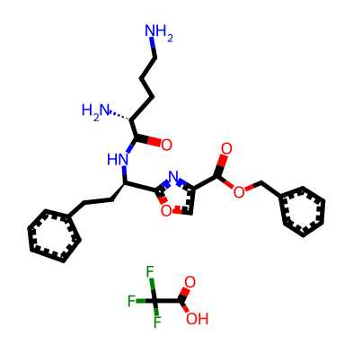 NCCC[C@@H](N)C(=O)N[C@H](CCc1ccccc1)c1nc(C(=O)OCc2ccccc2)co1.O=C(O)C(F)(F)F